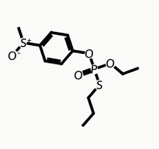 CCCSP(=O)(OCC)Oc1ccc([S+](C)[O-])cc1